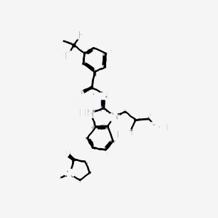 CN1CC[C@@H](c2ccc3c(c2)[nH]/c(=N\C(=O)c2cccc(C(F)(F)F)c2)n3CC(O)CO)C1=O